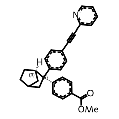 COC(=O)c1ccc([C@]2(c3ccc(C#Cc4ccccn4)cc3)CC3CC[C@@H]2C3)cc1